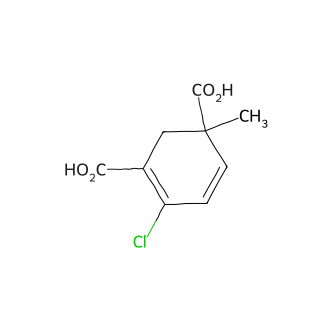 CC1(C(=O)O)C=CC(Cl)=C(C(=O)O)C1